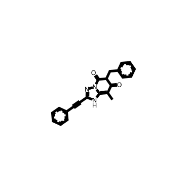 CC1=C2NC(C#Cc3ccccc3)=NN2C(=O)C(Cc2ccccc2)C1=O